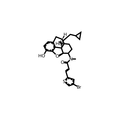 CN(C(=O)/C=C/c1cc(Br)cs1)C1CC[C@@]2(O)[C@H]3Cc4ccc(O)c5c4[C@@]2(CCN3CC2CC2)C1(C)O5